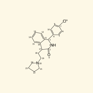 O=C1NC(c2ccc(Cl)cc2)c2ccccc2C1CCN1CCCC1